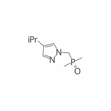 CC(C)c1cnn(CP(C)(C)=O)c1